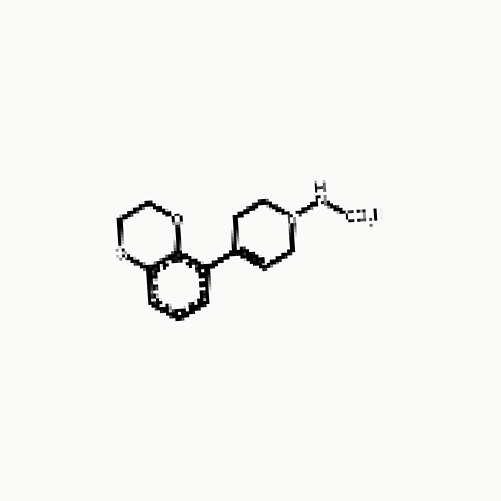 O=C(O)NN1CC=C(c2cccc3c2OCCO3)CC1